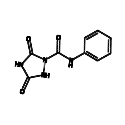 O=C(Nc1ccccc1)n1[nH]c(=O)[nH]c1=O